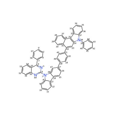 c1ccc(-c2nc(-n3c4ccccc4c4ccc(-c5ccc(-c6cc7c(c8ccccc68)c6ccccc6n7-c6ccccc6)cc5)cc43)nc3ccccc23)cc1